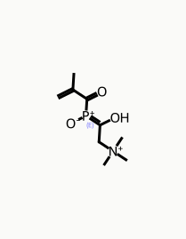 C=C(C)C(=O)/[P+]([O-])=C(\O)C[N+](C)(C)C